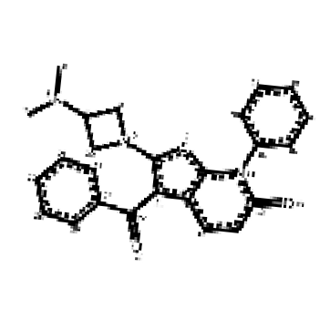 CN(C)C1CN(c2sc3c(ccc(=O)n3-c3ccccc3)c2C(=O)c2ccccc2)C1